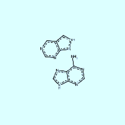 Nc1ncnc2[nH]cnc12.c1ncc2c[nH]nc2n1